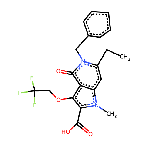 CCc1cc2c(c(OCC(F)(F)F)c(C(=O)O)n2C)c(=O)n1Cc1ccccc1